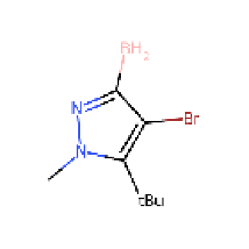 Bc1nn(C)c(C(C)(C)C)c1Br